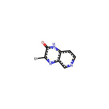 CCc1nc2cnccc2[nH]c1=O